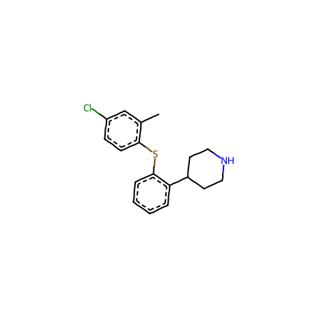 Cc1cc(Cl)ccc1Sc1ccccc1C1CCNCC1